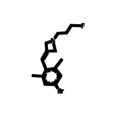 Cc1cc(Br)cc(C)c1C=C1CN(CCCF)C1